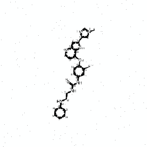 Cn1cnc(-c2cc3nccc(Oc4ccc(NC(=O)NCCNc5ccccc5)cc4F)c3s2)c1